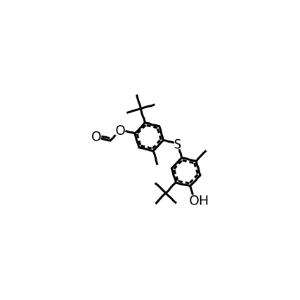 Cc1cc(O)c(C(C)(C)C)cc1Sc1cc(C(C)(C)C)c(OC=O)cc1C